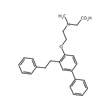 CN(CCOc1ccc(-c2ccccc2)cc1CCc1ccccc1)CC(=O)O